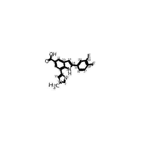 Cn1cnc(-c2cc(C(=O)O)cc3cc(-c4ccc(F)c(F)c4)[nH]c23)c1